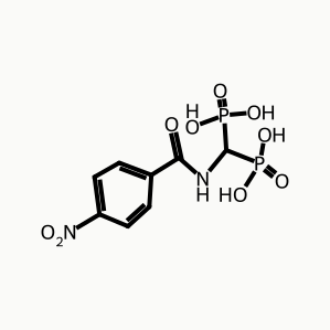 O=C(NC(P(=O)(O)O)P(=O)(O)O)c1ccc([N+](=O)[O-])cc1